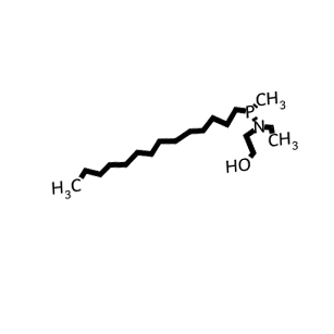 CCCCCCCCCCCCCCP(C)N(CC)CCO